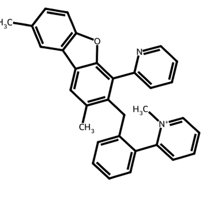 Cc1ccc2oc3c(-c4ccccn4)c(Cc4ccccc4-c4cccc[n+]4C)c(C)cc3c2c1